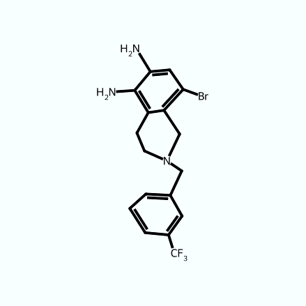 Nc1cc(Br)c2c(c1N)CCN(Cc1cccc(C(F)(F)F)c1)C2